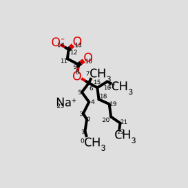 CCCCCCC(C)(OC(=O)CC(=O)[O-])C(CC)CCCCC.[Na+]